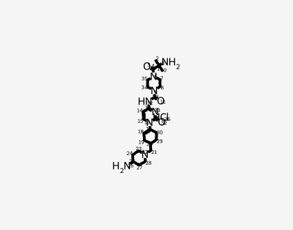 CC(C)(N)C(=O)N1CCN(C(=O)Nc2ccn(C3=CCC(CN4CCC(N)CC4)CC3)c(=O)n2)CC1.Cl